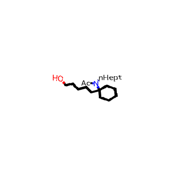 CCCCCCCN(C(C)=O)C1(CCCCCO)CCCCC1